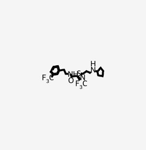 O=C(NCCc1cccc(C(F)(F)F)c1)c1sc(CCNC2CCCC2)nc1C(F)(F)F